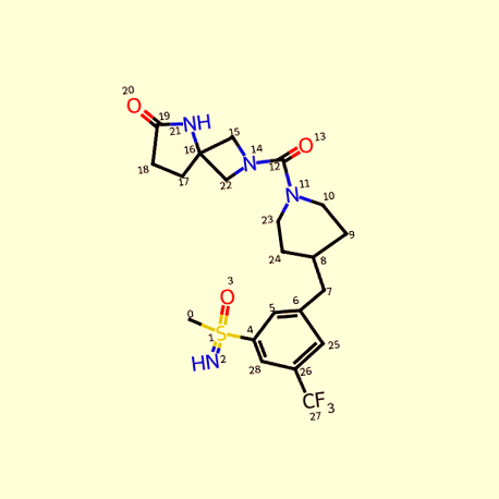 CS(=N)(=O)c1cc(CC2CCN(C(=O)N3CC4(CCC(=O)N4)C3)CC2)cc(C(F)(F)F)c1